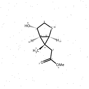 COC(=O)C[C@]1(C)[C@H]2[C@H](O)CS[C@H]21